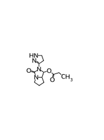 CCC(=O)OC1C2CCCN2C(=O)N1C1=NNCC1